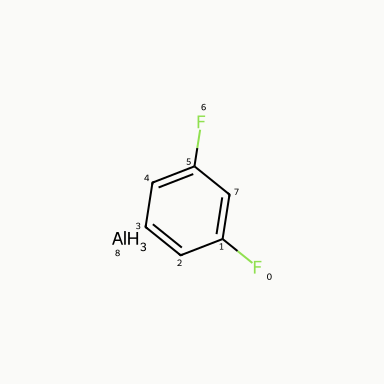 Fc1cccc(F)c1.[AlH3]